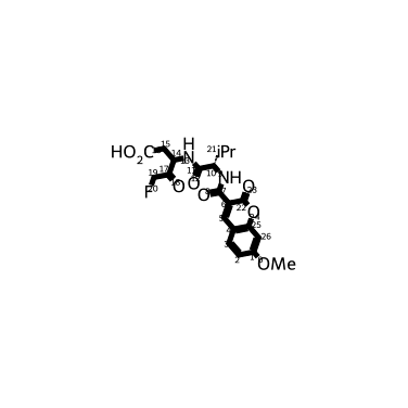 COc1ccc2cc(C(=O)N[C@H](C(=O)NC(CC(=O)O)C(=O)CF)C(C)C)c(=O)oc2c1